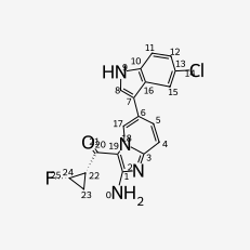 Nc1nc2ccc(-c3c[nH]c4ccc(Cl)cc34)cn2c1C(=O)[C@@H]1C[C@@H]1F